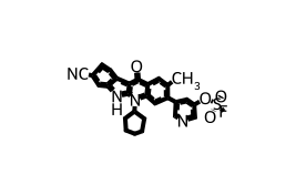 Cc1cc2c(=O)c3c4ccc(C#N)cc4[nH]c3n(C3CCCCC3)c2cc1-c1cncc(OS(=O)(=O)F)c1